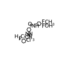 C[C@H](O)C(F)(F)c1ccc(CNC(=O)c2ccc3c(c2)nnn3CC(C)(C)c2c(F)cccc2Cl)cc1